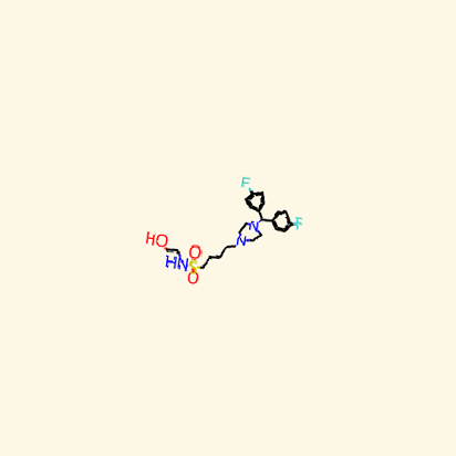 O=S(=O)(CCCCCN1CCN(C(c2ccc(F)cc2)c2ccc(F)cc2)CC1)NCCO